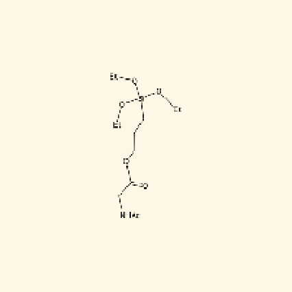 CCO[Si](CCCOC(=O)CNC(C)=O)(OCC)OCC